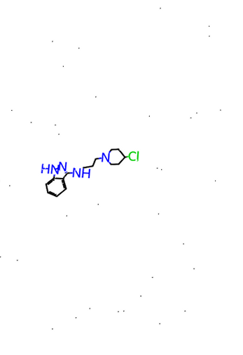 ClC1CCN(CCCNc2n[nH]c3ccccc23)CC1